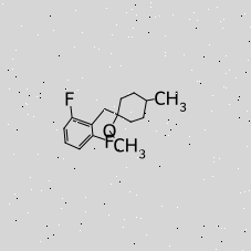 COC1(Cc2c(F)cccc2F)CCC(C)CC1